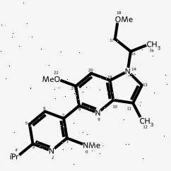 CNc1nc(C(C)C)ccc1-c1nc2c(C)cn(C(C)COC)c2cc1OC